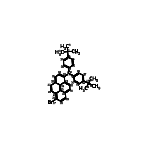 CC(C)(C)c1ccc(N(c2ccc(C(C)(C)C)cc2)c2ccc3ccc4c(Br)ccc5ccc2c3c54)cc1